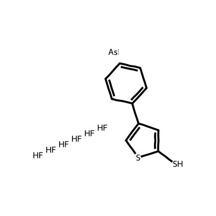 F.F.F.F.F.F.Sc1cc(-c2ccccc2)cs1.[As]